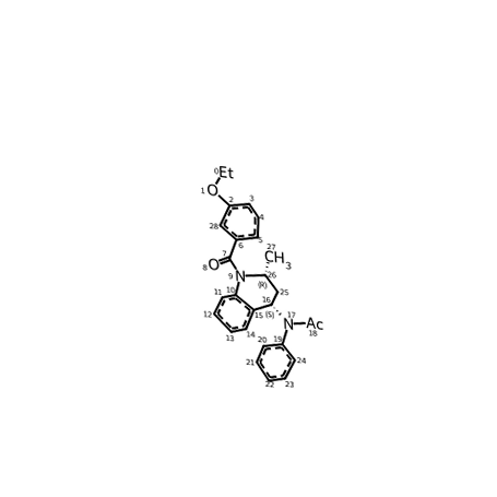 CCOc1cccc(C(=O)N2c3ccccc3[C@@H](N(C(C)=O)c3ccccc3)C[C@H]2C)c1